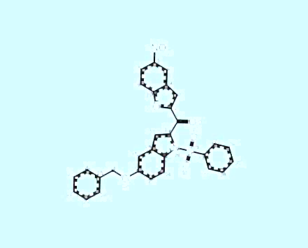 O=C(c1cc2cc([N+](=O)[O-])ccc2o1)c1cc2cc(OCc3ccccc3)ccc2n1S(=O)(=O)c1ccccc1